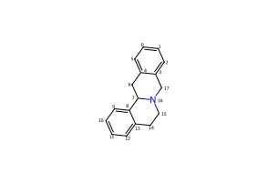 c1ccc2c(c1)CC1c3ccccc3CCN1C2